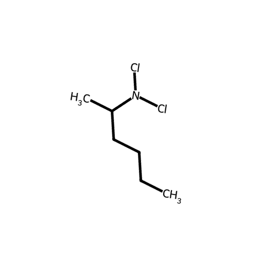 CCCCC(C)N(Cl)Cl